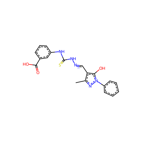 Cc1nn(-c2ccccc2)c(O)c1/C=N/NC(=S)Nc1cccc(C(=O)O)c1